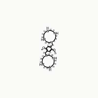 COc1cc(CN2CCCNCCNCCCNCC2)c(OC)cc1CN1CCCNCCNCCCNCC1